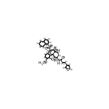 COc1ccc2c3c1O[C@@H]1[C@@H](NC(=O)/C=C/c4ccoc4)CC[C@]4(O)[C@H](C2)N(S(=O)(=O)c2cccc5ccccc25)CC[C@@]314